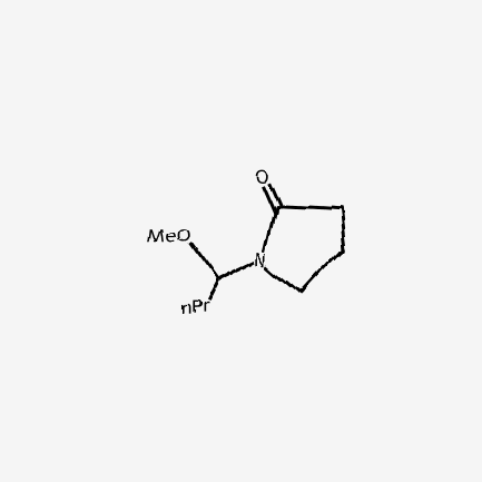 CCCC(OC)N1CCCC1=O